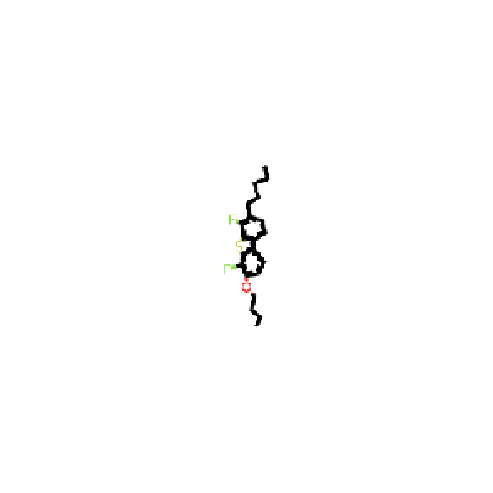 CCCCCc1ccc2c(sc3c(F)c(OCCCC)ccc32)c1F